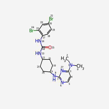 CN(C)c1ccnc(NC2CCC(NC(=O)Nc3ccc(Br)cc3Br)CC2)n1